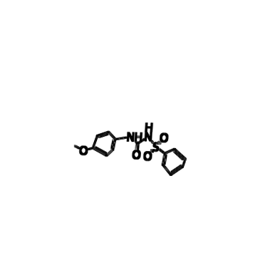 COc1ccc(NC(=O)NS(=O)(=O)c2ccccc2)cc1